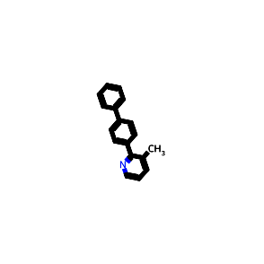 Cc1cccnc1-c1ccc(-c2ccccc2)cc1